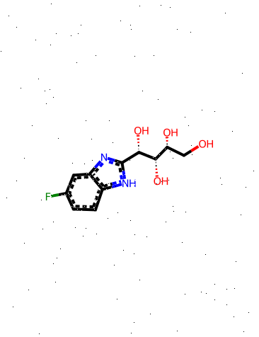 OC[C@@H](O)[C@H](O)[C@@H](O)c1nc2cc(F)ccc2[nH]1